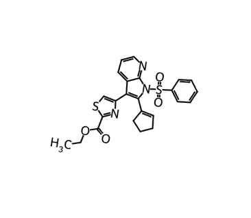 CCOC(=O)c1nc(-c2c(C3=CCCC3)n(S(=O)(=O)c3ccccc3)c3ncccc23)cs1